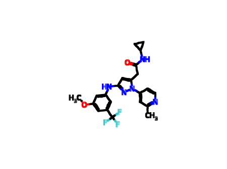 COc1cc(Nc2cc(CC(=O)NC3CC3)n(-c3ccnc(C)c3)n2)cc(C(F)(F)F)c1